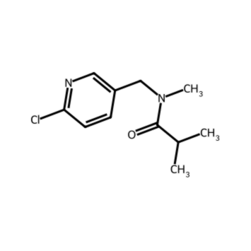 CC(C)C(=O)N(C)Cc1ccc(Cl)nc1